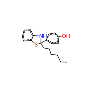 CCCCCCC1(c2ccc(O)cc2)Nc2ccccc2S1